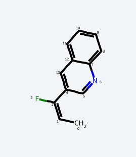 [CH2]/C=C(/F)c1cnc2ccccc2c1